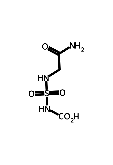 NC(=O)CNS(=O)(=O)NC(=O)O